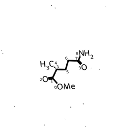 COC(=O)[C@H](C)CCC(N)=O